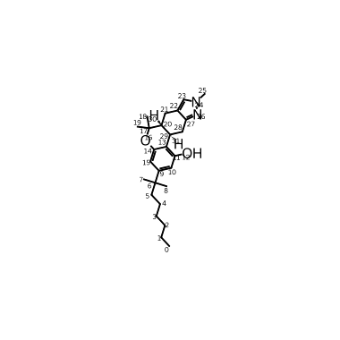 CCCCCCC(C)(C)c1cc(O)c2c(c1)OC(C)(C)[C@@H]1Cc3cn(C)nc3C[C@@H]21